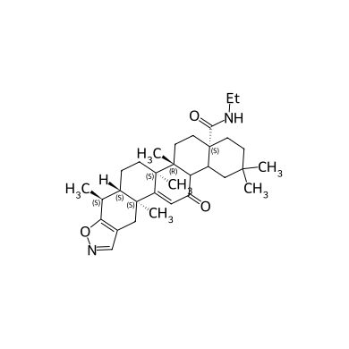 CCNC(=O)[C@]12CCC(C)(C)CC1C1C(=O)C=C3[C@@]4(C)Cc5cnoc5[C@@H](C)[C@@H]4CC[C@@]3(C)[C@]1(C)CC2